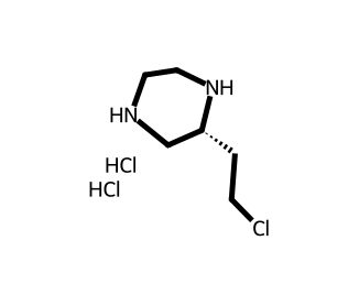 Cl.Cl.ClCC[C@@H]1CNCCN1